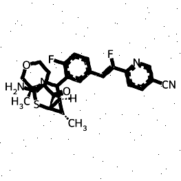 C[C@H]1COCCC1C(=O)[C@@]12SC(N)=NC(c3cc(/C=C(\F)c4ccc(C#N)cn4)ccc3F)[C@H]1[C@@H]2C